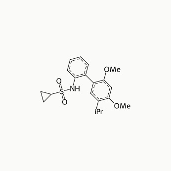 COc1cc(OC)c(C(C)C)cc1-c1ccccc1NS(=O)(=O)C1CC1